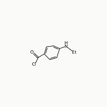 CCNc1ccc(C(=O)Cl)cc1